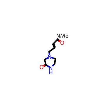 CNC(=O)/C=C/CN1CCNC(=O)C1